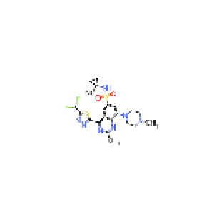 Cc1nc(-c2nnc(C(F)F)s2)c2cc(S(=O)(=O)NC3(C#N)CC3)cc(N3CCN(C)CC3)c2n1